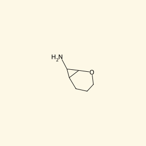 NC1C2CCCOC12